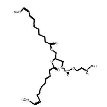 CCCCCCCC/C=C\CCCCCCCC(=O)OCC(CO[PH](=O)OCCNC(C)(C)C)OC(=O)CCCCCCC/C=C\CCCCCCCC